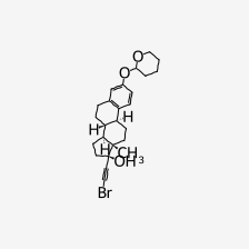 C[C@]12CC[C@@H]3c4ccc(OC5CCCCO5)cc4CC[C@H]3[C@@H]1CC[C@@]2(O)C#CBr